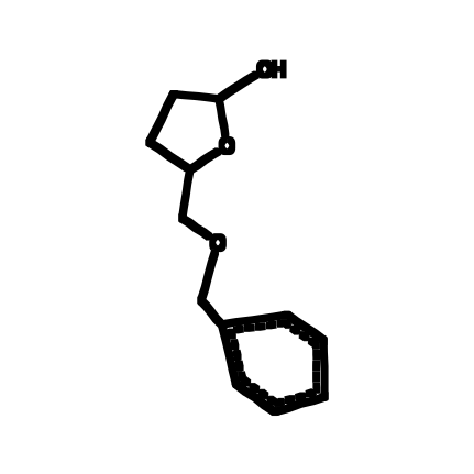 OC1CCC(COCc2ccccc2)O1